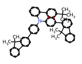 CC(C)(C)c1ccc(-c2ccccc2N(c2ccc(-c3ccc4c(c3)C(C)(C)c3ccccc3-4)cc2)c2ccc(-c3cccc4c3C(C)(C)c3ccccc3-4)cc2)cc1